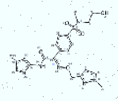 CN(CCO)S(=O)(=O)c1ccc(/C(=N\OCc2ccn(C)n2)C(=O)Nc2ncc(F)s2)cc1